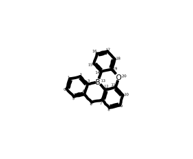 c1ccc2c(c1)Cc1cccc3c1B2c1ccccc1O3